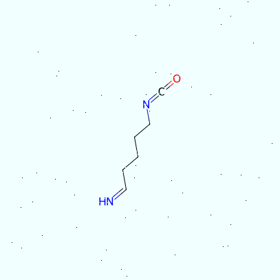 N=CCCCCN=C=O